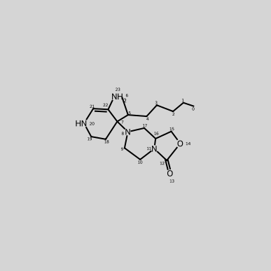 CCCCCC(C)C1(N2CCN3C(=O)OCC3C2)CCNC=C1N